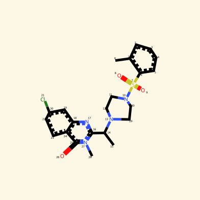 Cc1ccccc1S(=O)(=O)N1CCN(C(C)c2nc3cc(Cl)ccc3c(=O)n2C)CC1